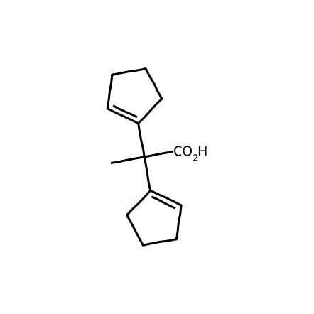 CC(C(=O)O)(C1=CCCC1)C1=CCCC1